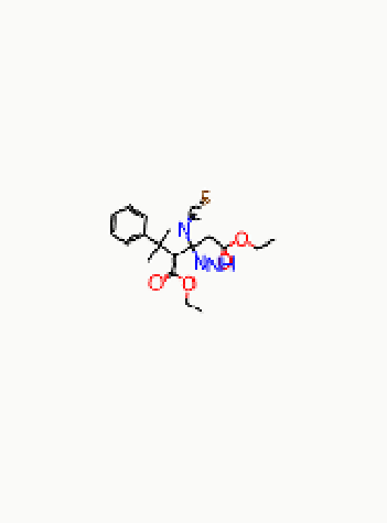 CCOC(=O)CC(N=N)(N=C=S)C(C(=O)OCC)C(C)(C)c1ccccc1